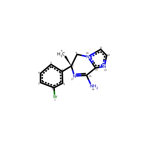 C[C@@]1(c2cccc(Br)c2)Cn2ccnc2C(N)=N1